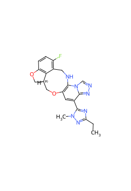 CCc1nc(-c2cc3c(n4cnnc24)NCc2c(F)ccc4c2[C@H](CO4)CO3)n(C)n1